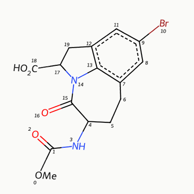 COC(=O)NC1CCc2cc(Br)cc3c2N(C1=O)C(C(=O)O)C3